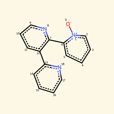 [O-][n+]1ccccc1-c1ncccc1-c1ccccn1